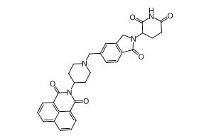 O=C1CCC(N2Cc3cc(CN4CCC(N5C(=O)c6cccc7cccc(c67)C5=O)CC4)ccc3C2=O)C(=O)N1